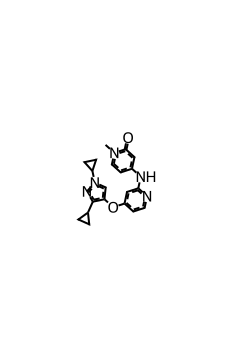 Cn1ccc(Nc2cc(Oc3cn(C4CC4)nc3C3CC3)ccn2)cc1=O